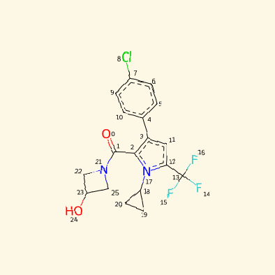 O=C(c1c(-c2ccc(Cl)cc2)cc(C(F)(F)F)n1C1CC1)N1CC(O)C1